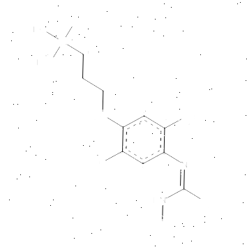 CCNC(C)=Nc1cc(C(F)(F)F)c(OCCC[Si](C)(C)C)cc1C